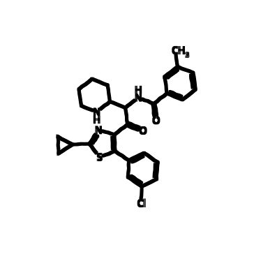 Cc1cccc(C(=O)NC(C(=O)c2nc(C3CC3)sc2-c2cccc(Cl)c2)C2CCCCN2)c1